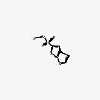 COS(=O)(=O)c1cc2ccsc2s1